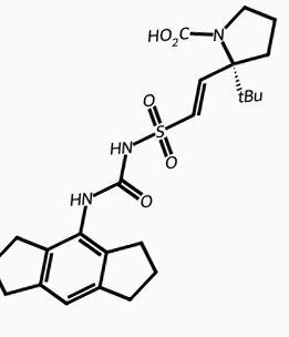 CC(C)(C)[C@@]1(/C=C/S(=O)(=O)NC(=O)Nc2c3c(cc4c2CCC4)CCC3)CCCN1C(=O)O